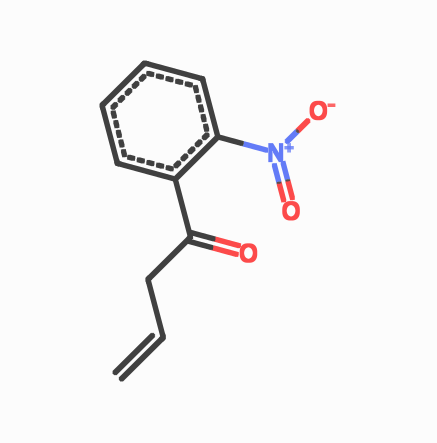 C=CCC(=O)c1ccccc1[N+](=O)[O-]